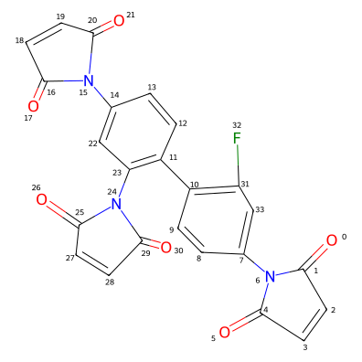 O=C1C=CC(=O)N1c1ccc(-c2ccc(N3C(=O)C=CC3=O)cc2N2C(=O)C=CC2=O)c(F)c1